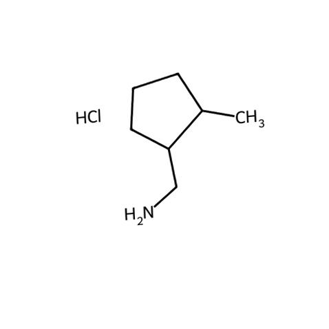 CC1CCCC1CN.Cl